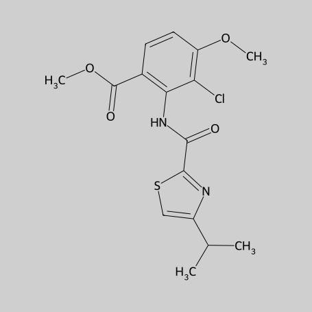 COC(=O)c1ccc(OC)c(Cl)c1NC(=O)c1nc(C(C)C)cs1